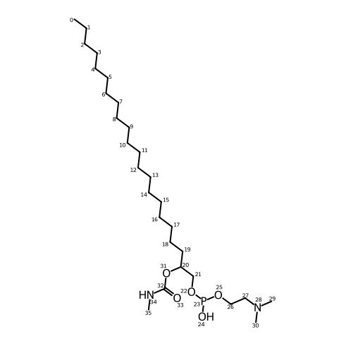 CCCCCCCCCCCCCCCCCCCCC(COP(O)OCCN(C)C)OC(=O)NC